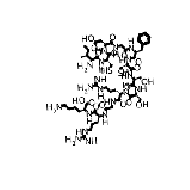 CC[C@H](C)[C@H](N)C(=O)N[C@@H](CS)C(=O)N[C@@H](CC(=O)O)C(=O)NCC(=O)N[C@@H](Cc1ccccc1)C(=O)N[C@@H](CS)C(=O)N[C@@H](CO)C(=O)N[C@@H](CO)C(=O)N[C@@H](CCCNC(=N)N)C(=O)NCC(=O)N[C@@H](CCCNC(=N)N)C(=O)N[C@@H](CCCCN)C(=O)O